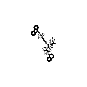 CNC(C)C(=O)N[C@@H](CCCCNC(=O)OCC1c2ccccc2-c2ccccc21)C(=O)N1CSCC1C(=O)N[C@@H]1CCCc2ccccc21